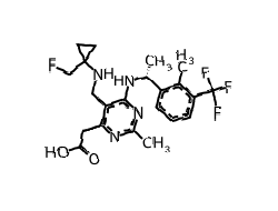 Cc1nc(CC(=O)O)c(CNC2(CF)CC2)c(N[C@H](C)c2cccc(C(F)(F)F)c2C)n1